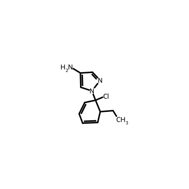 CCC1C=CC=CC1(Cl)n1cc(N)cn1